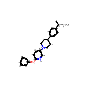 CC(=O)N[C@@H](C)c1ccc(C2CCN(c3ccc(Oc4ccccc4)nc3)CC2)cc1